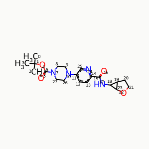 CC(C)(C)OC(=O)N1CCN(c2ccc(C(=O)NC3C4CCOC43)nc2)CC1